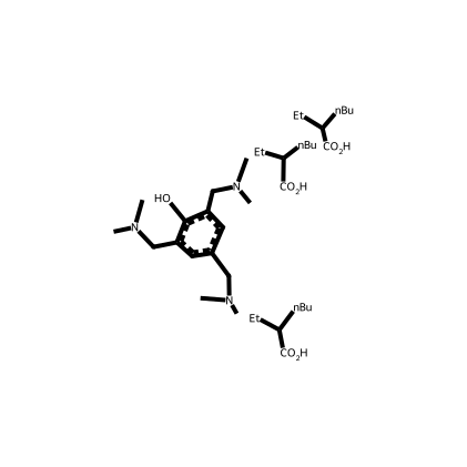 CCCCC(CC)C(=O)O.CCCCC(CC)C(=O)O.CCCCC(CC)C(=O)O.CN(C)Cc1cc(CN(C)C)c(O)c(CN(C)C)c1